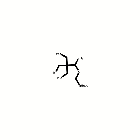 CCCCCCCCOC(C)C(CO)(CO)CO